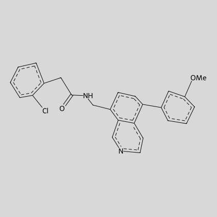 COc1cccc(-c2ccc(CNC(=O)Cc3ccccc3Cl)c3cnccc23)c1